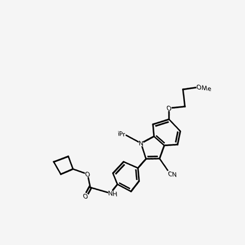 COCCOc1ccc2c(C#N)c(-c3ccc(NC(=O)OC4CCC4)cc3)n(C(C)C)c2c1